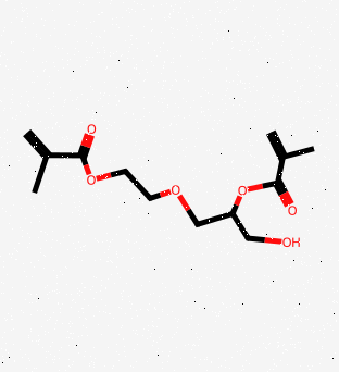 C=C(C)C(=O)OCCOCC(CO)OC(=O)C(=C)C